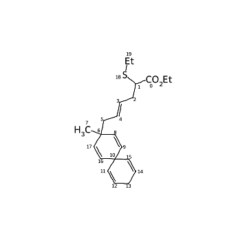 CCOC(=O)C(C/C=C/CC1(C)C=CC2(C=CCC=C2)C=C1)SCC